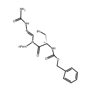 CCCCCN(C=NNC(N)=O)C(=O)[C@H](CC(C)C)NC(=O)OCc1ccccc1